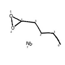 CCCCC1OO1.[Nb]